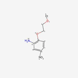 CCOCCOc1ccc([N+](=O)[O-])cc1N